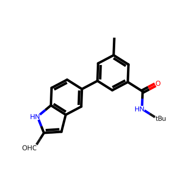 Cc1cc(C(=O)NC(C)(C)C)cc(-c2ccc3[nH]c(C=O)cc3c2)c1